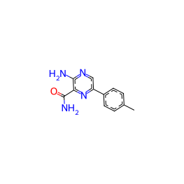 Cc1ccc(-c2cnc(N)c(C(N)=O)n2)cc1